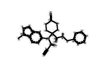 C#CC(=O)N(c1ccc2c(cnn2C)c1)C1(C(=O)NCc2ccccc2)CCC(=O)CC1